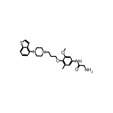 COc1cc(NC(=O)CN)cc(C)c1OCCCN1CCN(c2cccc3sccc23)CC1